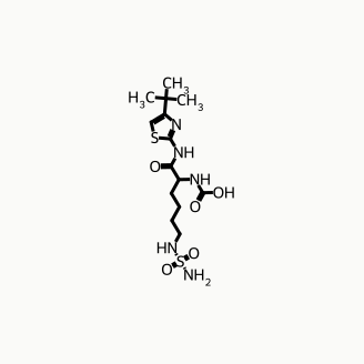 CC(C)(C)c1csc(NC(=O)C(CCCCNS(N)(=O)=O)NC(=O)O)n1